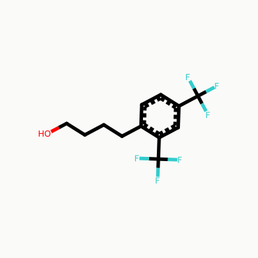 OCCCCc1ccc(C(F)(F)F)cc1C(F)(F)F